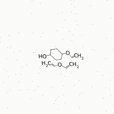 C=COC1CCC(O)CC1.C=COC=C